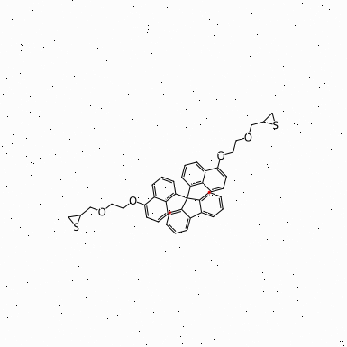 c1ccc2c(c1)-c1ccccc1C2(c1cccc2c(OCCOCC3CS3)cccc12)c1cccc2c(OCCOCC3CS3)cccc12